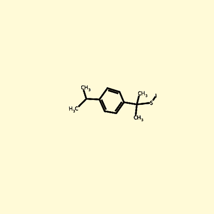 CC(C)c1ccc(C(C)(C)SI)cc1